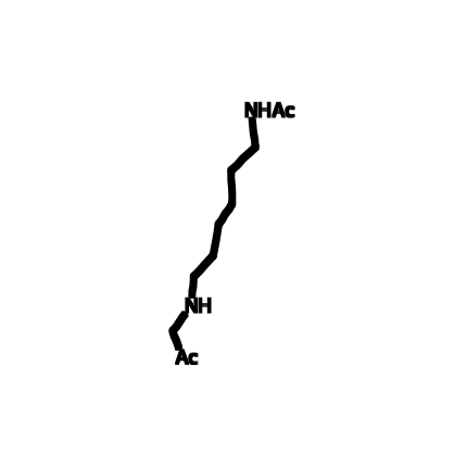 CC(=O)CNCCCCCCNC(C)=O